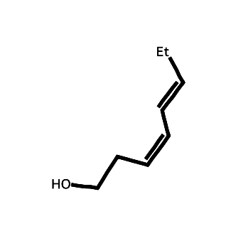 CC/C=C/C=C\CCO